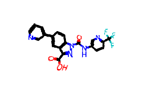 O=C(O)c1nn(C(=O)Nc2ccc(C(F)(F)F)nc2)c2ccc(-c3cccnc3)cc12